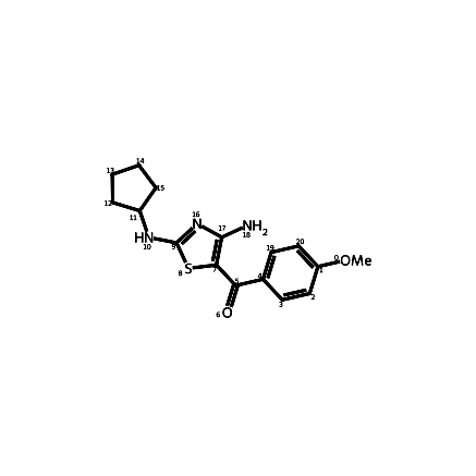 COc1ccc(C(=O)c2sc(NC3CCCC3)nc2N)cc1